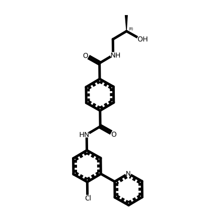 C[C@@H](O)CNC(=O)c1ccc(C(=O)Nc2ccc(Cl)c(-c3ccccn3)c2)cc1